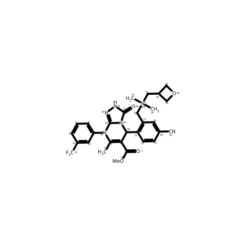 COC(=O)C1=C(C)N(c2cccc(C(F)(F)F)c2)c2n[nH]c(=O)n2C1c1ccc(C#N)cc1C[N+](C)(C)CC1COC1